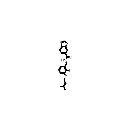 CC(C)=CCOc1cccc(CNC(=O)c2ccc3ncsc3c2)c1F